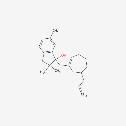 C=CCC1CCCC=C(CC2(O)c3cc(C)ccc3CC2(C)C)C1